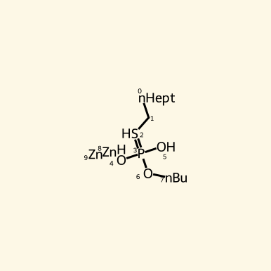 CCCCCCCC[SH]=P(O)(O)OCCCC.[Zn].[Zn]